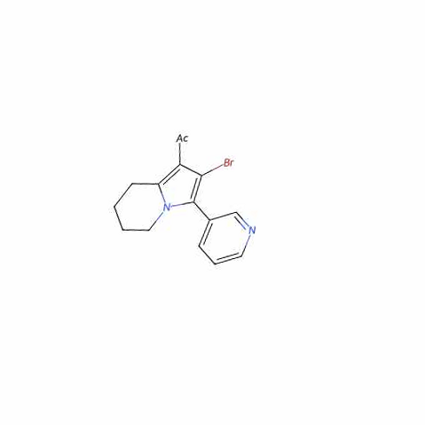 CC(=O)c1c(Br)c(-c2cccnc2)n2c1CCCC2